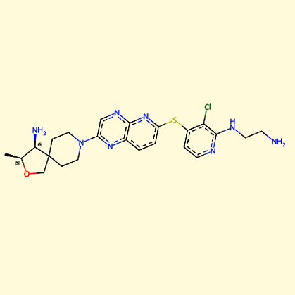 C[C@@H]1OCC2(CCN(c3cnc4nc(Sc5ccnc(NCCN)c5Cl)ccc4n3)CC2)[C@@H]1N